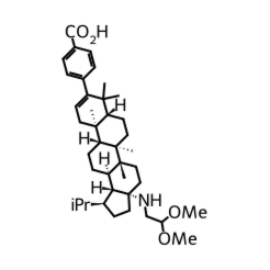 COC(CN[C@]12CC[C@@H](C(C)C)[C@@H]1[C@H]1CC[C@@H]3[C@@]4(C)CC=C(c5ccc(C(=O)O)cc5)C(C)(C)[C@@H]4CC[C@@]3(C)[C@]1(C)CC2)OC